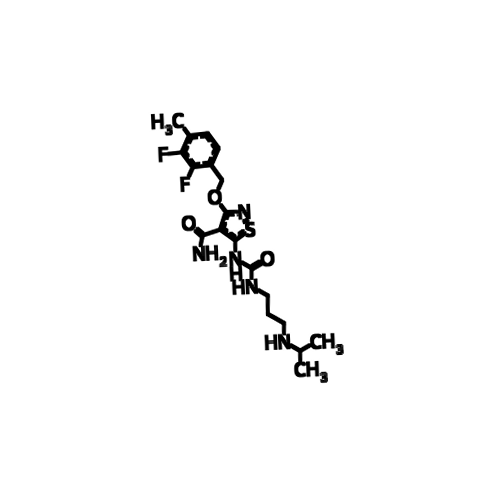 Cc1ccc(COc2nsc(NC(=O)NCCCNC(C)C)c2C(N)=O)c(F)c1F